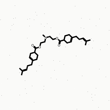 CC(C)=CCCC1=CCC(C(=O)OCCN(C)CCOC(=O)C2CC=C(CCC=C(C)C)CC2)CC1